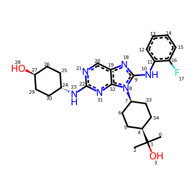 CC(C)(O)[C@H]1CC[C@@H](n2c(Nc3ccccc3F)nc3cnc(N[C@H]4CC[C@H](O)CC4)nc32)CC1